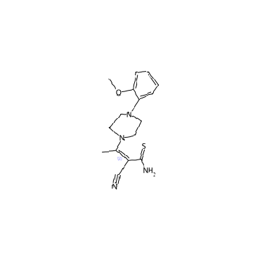 COc1ccccc1N1CCN(/C(C)=C(/C#N)C(N)=S)CC1